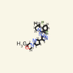 C[C@H]1CN(c2ccc(-c3cnn4ccc(N5CC[C@H]6C[C@]65c5cc(F)ccc5F)nc34)cn2)CCO1